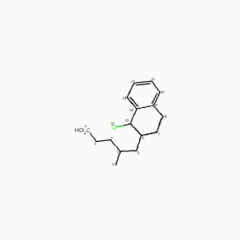 CC(CCC(=O)O)CC1CCc2ccccc2C1Cl